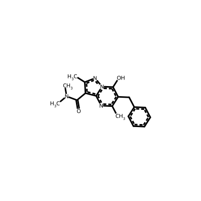 Cc1nc2c(C(=O)N(C)C)c(C)nn2c(O)c1Cc1ccccc1